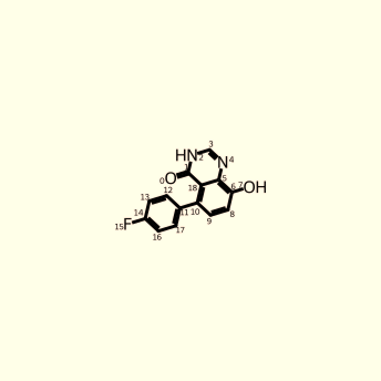 O=c1[nH]cnc2c(O)ccc(-c3ccc(F)cc3)c12